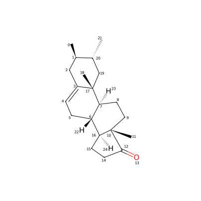 C[C@@H]1CC2=CC[C@@H]3[C@H](CC[C@]4(C)C(=O)CC[C@@H]34)[C@@]2(C)C[C@H]1C